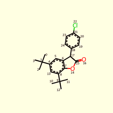 CC(C)(C)c1cc2c(c(C(C)(C)C)c1)OC(=O)C2c1ccc(Cl)cc1